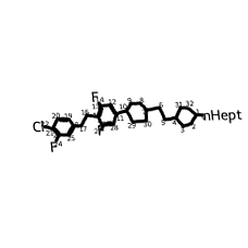 CCCCCCCC1CCC(CCC2CCC(c3cc(F)c(CCc4ccc(Cl)c(F)c4)c(F)c3)CC2)CC1